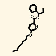 CCCCCCCOc1ccc(C(=O)OC(CC)c2ccccc2)nc1